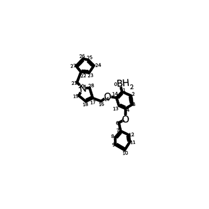 Bc1ccc(OCc2ccccc2)cc1OCC1=CCN(Cc2ccccc2)C1